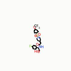 O=C(C=C1CCN(S(=O)(=O)c2ccc(OC(F)(F)F)cc2)CC1)NC(CO)c1ccc(F)cc1